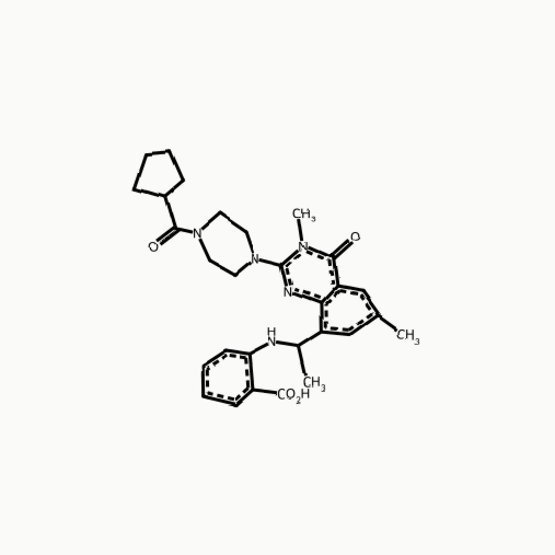 Cc1cc(C(C)Nc2ccccc2C(=O)O)c2nc(N3CCN(C(=O)C4CCCC4)CC3)n(C)c(=O)c2c1